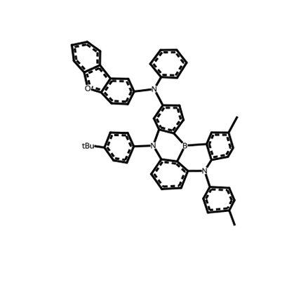 Cc1ccc(N2c3ccc(C)cc3B3c4ccc(N(c5ccccc5)c5ccc6oc7ccccc7c6c5)cc4N(c4ccc(C(C)(C)C)cc4)c4cccc2c43)cc1